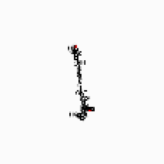 C#Cc1c(F)ccc2cc(O)cc(-c3ncc4c(N5CC6CCC(C5)N6)nc(OCC56CC[C@@H](COC(=O)NCCOCCOCCOCCOCCC(=O)Nc7ccc8c(c7)C(=O)N(C7CCC(=O)NC7=O)C8=O)N5CC(=C)C6)nc4c3F)c12